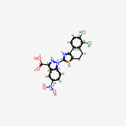 O=C(O)c1nn(-c2nc3c(s2)CCc2c-3ccc(Cl)c2Cl)c2ccc([N+](=O)[O-])cc12